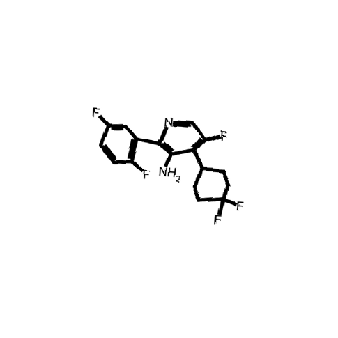 Nc1c(-c2cc(F)ccc2F)ncc(F)c1C1CCC(F)(F)CC1